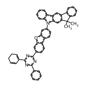 CC1(C)c2ccccc2-c2cc3c4ccccc4n(-c4ccc5c(c4)oc4cc(-c6nc(C7=CCCC=C7)nc(-c7ccccc7)n6)ccc45)c3cc21